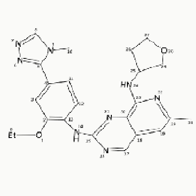 CCOc1cc(-c2nncn2C)ccc1Nc1ncc2cc(C)nc(NC3CCOC3)c2n1